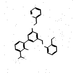 CC(N)c1cccc(-c2cc(COc3ccccc3CC(=O)O)cc(OCc3ccccn3)c2)c1F